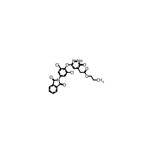 CCCOC(=O)Cc1cc(Oc2c(Cl)cc(N3C(=O)c4ccccc4C3=O)cc2Cl)n[nH]c1=O